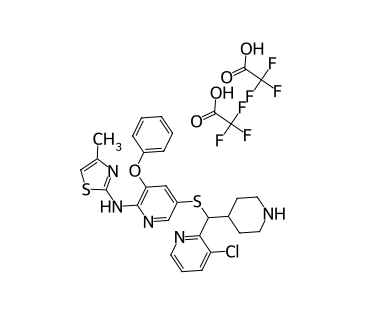 Cc1csc(Nc2ncc(SC(c3ncccc3Cl)C3CCNCC3)cc2Oc2ccccc2)n1.O=C(O)C(F)(F)F.O=C(O)C(F)(F)F